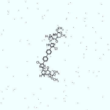 CC[C@H](NC(=O)OC)C(=O)N1[C@@H]2C[C@@H]2C[C@H]1c1nc(Cl)c(-c2ccc(-c3ccc(-c4[nH]c([C@@H]5C[C@H]6C[C@H]6N5C(=O)[C@H](CC)NC(=O)OC)nc4Cl)cc3)cc2)[nH]1